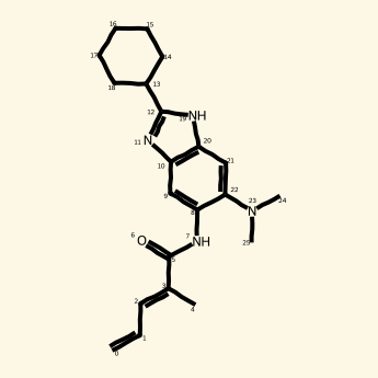 C=C/C=C(\C)C(=O)Nc1cc2nc(C3CCCCC3)[nH]c2cc1N(C)C